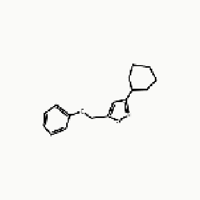 c1ccc(OCc2cc(C3CCCCC3)no2)cc1